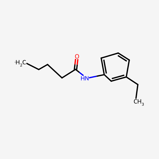 [CH2]CCCC(=O)Nc1cccc(CC)c1